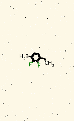 Bc1ccc(CC)c(F)c1F